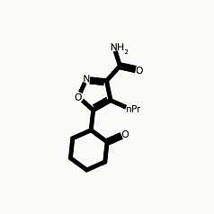 CCCc1c(C(N)=O)noc1C1CCCCC1=O